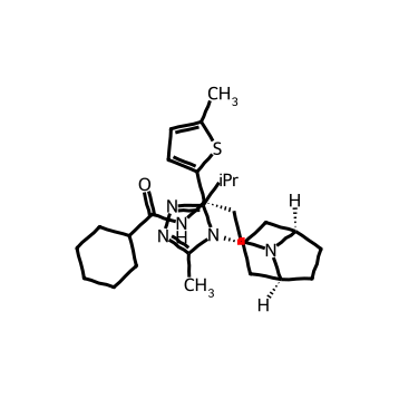 Cc1ccc([C@H](CCN2[C@@H]3CC[C@H]2C[C@H](n2c(C)nnc2C(C)C)C3)NC(=O)C2CCCCC2)s1